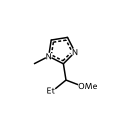 CCC(OC)c1nccn1C